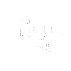 C[C@@H]([C@@H](O)[C@H](OCCO)O[C@@H]1[C@@H](O)[C@H](O[C@@H]2CCC=C(CNCC(O)CO)O2)[C@@H](NC(=O)OCc2ccc([N+](=O)[O-])cc2)C[C@H]1NC(=O)CCNC(=O)OC(C)(C)C)N(C)C(=O)OC(C)(C)C